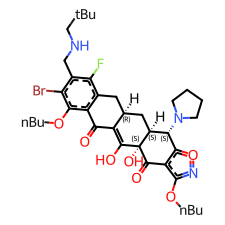 CCCCOc1noc2c1C(=O)[C@@]1(O)C(O)=C3C(=O)c4c(c(F)c(CNCC(C)(C)C)c(Br)c4OCCCC)C[C@H]3C[C@H]1[C@@H]2N1CCCC1